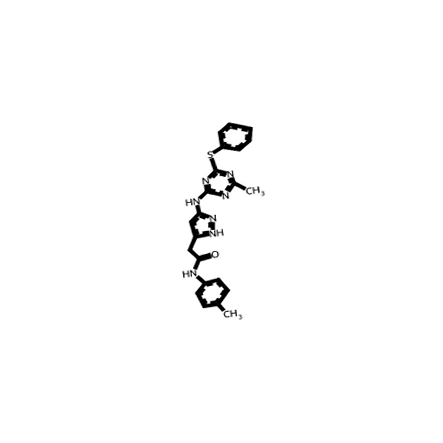 Cc1ccc(NC(=O)Cc2cc(Nc3nc(C)nc(Sc4ccccc4)n3)n[nH]2)cc1